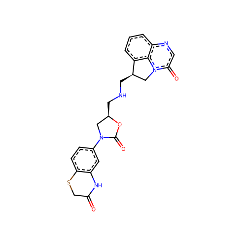 O=C1CSc2ccc(N3C[C@@H](CNC[C@@H]4Cn5c(=O)cnc6cccc4c65)OC3=O)cc2N1